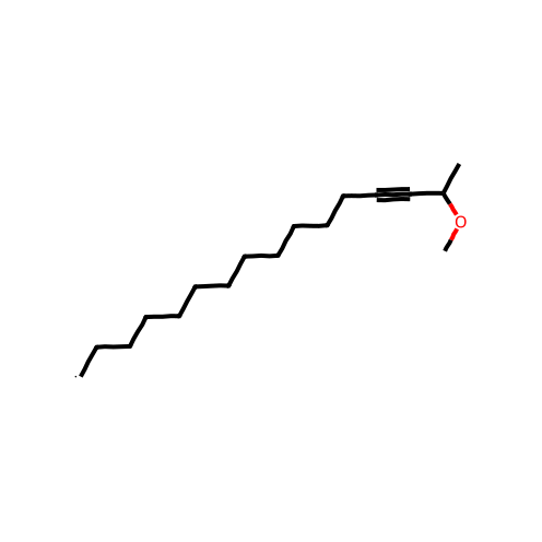 [CH2]CCCCCCCCCCCC#CC(C)OC